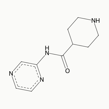 O=C(Nc1cnccn1)C1CCNCC1